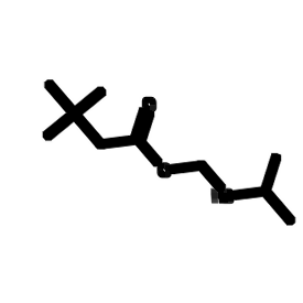 CC(C)BCOC(=O)CC(C)(C)C